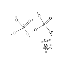 O=P([O-])([O-])[O-].O=P([O-])([O-])[O-].[Ca+2].[Fe+2].[Mn+2]